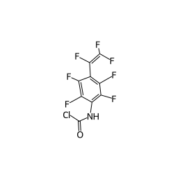 O=C(Cl)Nc1c(F)c(F)c(C(F)=C(F)F)c(F)c1F